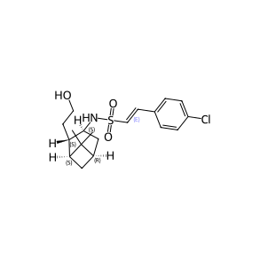 CC1(C)[C@H]2C[C@H](NS(=O)(=O)/C=C/c3ccc(Cl)cc3)[C@@H](CCO)[C@@H]1C2